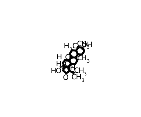 CC(C)C1=C2[C@H]3CCC4[C@@]5(C)CC[C@H](O)C(C)(C)C5CC[C@@]4(C)[C@]3(C)CC[C@@]2(CO)CC1=O